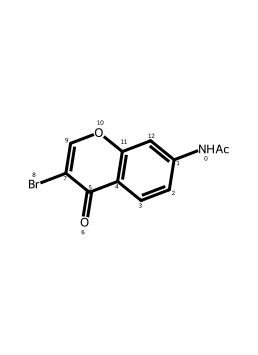 CC(=O)Nc1ccc2c(=O)c(Br)coc2c1